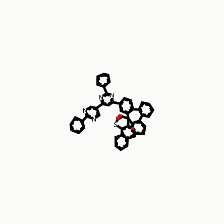 c1ccc(-c2ncc(-c3cc(-c4ccc5c(c4)C4(c6ccccc6Sc6c4ccc4ccccc64)c4ccccc4-c4ccccc4-5)nc(-c4ccccc4)n3)cn2)cc1